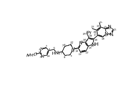 COc1ncc(CNC2CCN(c3ccc4[nH]c(-c5cn6ncnc6c(C)c5C)c(C(C)C)c4n3)CC2)cn1